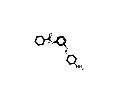 N[C@H]1CC[C@H](CNc2cccc(NC(=O)C3CCCCC3)c2)CC1